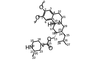 COc1cc2c(cc1OC)[C@H]1C[C@@H](COC(=O)N3CCN[C@H](C)C3)[C@H](CC(C)C)CN1CC2